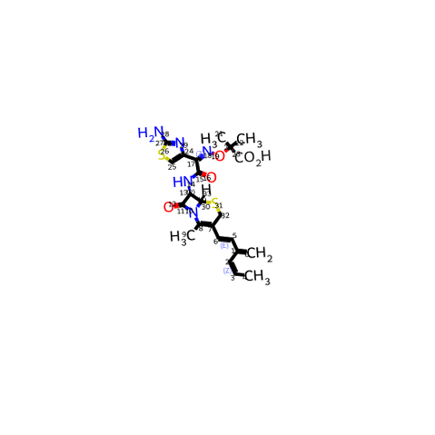 C=C(/C=C\C)/C=C/C1=C(C)N2C(=O)[C@@H](NC(=O)/C(=N\OC(C)(C)C(=O)O)c3csc(N)n3)[C@@H]2SC1